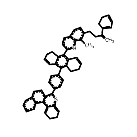 C=C(CCc1ccc2ccc(-c3c4c(c(-c5ccc(-c6nc7c(c8c6ccc6ccccc68)=CCCC=7)cc5)c5c3CCC=C5)CCC=C4)nc2c1C)C1=CC=CCC1